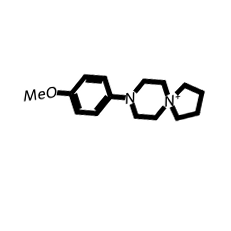 COc1ccc(N2CC[N+]3(CCCC3)CC2)cc1